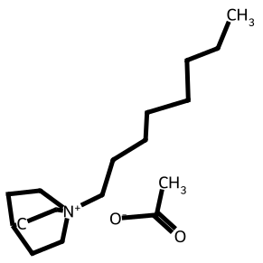 CC(=O)[O-].CCCCCCCC[N+]12CCC(CC1)CC2